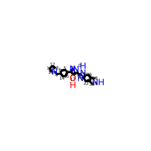 Cn1nc(-c2ccc(Cn3cccc3)cc2)c(O)c1-c1nc2cc3c(cc2[nH]1)CNC3